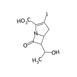 CC(O)C1C(=O)N2C(C(=O)O)=C(I)CC12